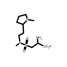 CN1CCCC1CCN(C)S(=O)(=O)CC(N)C(=O)O